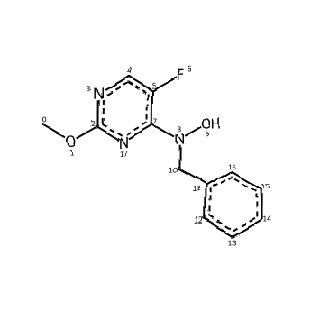 COc1ncc(F)c(N(O)Cc2ccccc2)n1